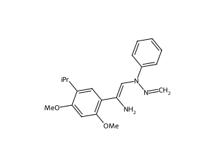 C=NN(/C=C(\N)c1cc(C(C)C)c(OC)cc1OC)c1ccccc1